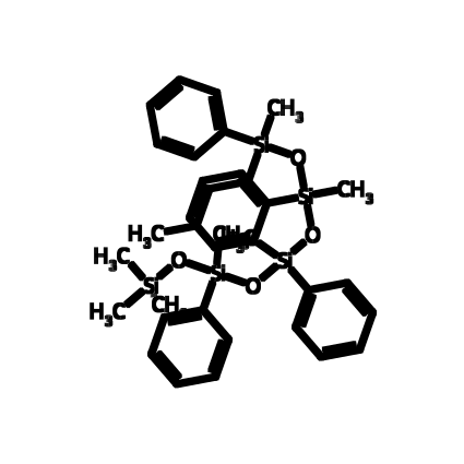 CCCC[Si](C)(O[Si](C)(O[Si](C)(O[Si](C)(O[Si](C)(C)C)c1ccccc1)c1ccccc1)c1ccccc1)c1ccccc1